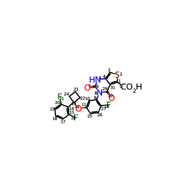 O=C(O)c1scc2[nH]c(=O)n(-c3cc(OC4(c5c(F)cccc5F)CCC4)ccc3F)c(=O)c12